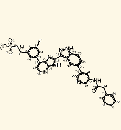 CS(=O)(=O)NCc1cc(F)cc(-c2ccnc3[nH]c(-c4n[nH]c5ccc(-c6cncc(NC(=O)Cc7ccccc7)c6)cc45)nc23)c1